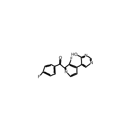 O=C(c1ccc(F)cc1)c1nccc(-c2cncnc2O)c1F